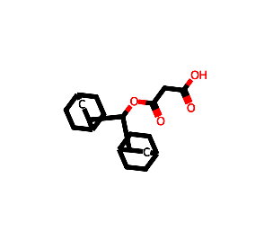 O=C(O)CC(=O)OC(C1CC2CCC1CC2)C1CC2CCC1CC2